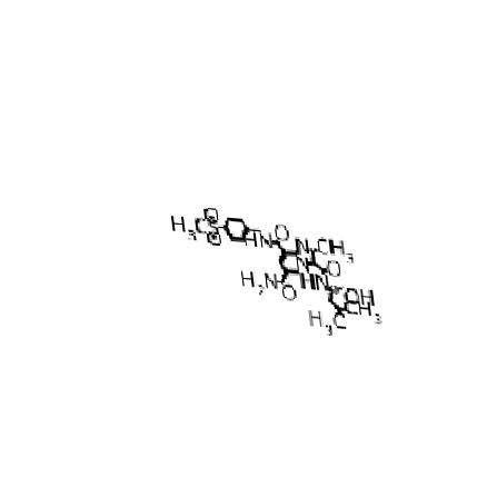 Cc1nc2c(C(=O)NCc3ccc(S(C)(=O)=O)cc3)cc(C(N)=O)cn2c1C(=O)N[C@H](CO)CC(C)C